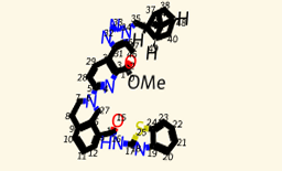 COC(=O)c1nc(N2CCc3cccc(C(=O)Nc4nc5ccccc5s4)c3C2)ccc1-c1nnn(C[C@@H]2CC[C@H]3C[C@@H]2C3(C)C)c1C